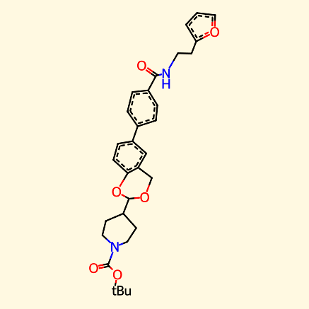 CC(C)(C)OC(=O)N1CCC(C2OCc3cc(-c4ccc(C(=O)NCCc5ccco5)cc4)ccc3O2)CC1